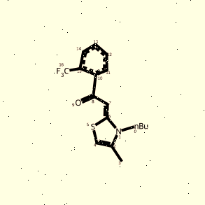 CCCCN1C(C)=CS/C1=C\C(=O)c1ccccc1C(F)(F)F